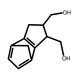 OCC1CC2=C(C3=CC=C2C3)C1CO